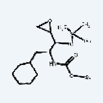 CC(C)(C)OC(=O)N[C@@H](CC1CCCCC1)[C@H](O[Si](C)(C)C(C)(C)C)C1CO1